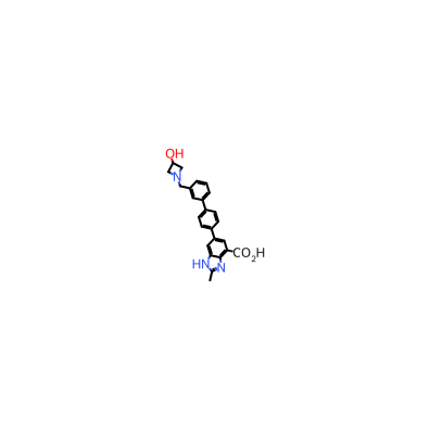 Cc1nc2c(C(=O)O)cc(-c3ccc(-c4cccc(CN5CC(O)C5)c4)cc3)cc2[nH]1